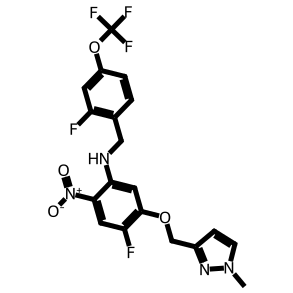 Cn1ccc(COc2cc(NCc3ccc(OC(F)(F)F)cc3F)c([N+](=O)[O-])cc2F)n1